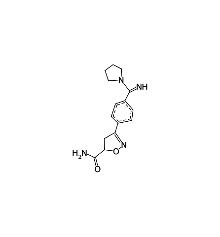 N=C(c1ccc(C2=NOC(C(N)=O)C2)cc1)N1CCCC1